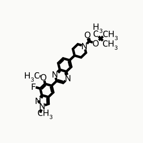 COc1c(-c2cnc3cc(C4CCN(C(=O)OC(C)(C)C)CC4)ccc3n2)cc2cn(C)nc2c1F